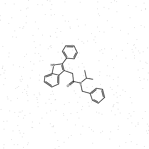 CC(C)N(Cc1ccccc1)C(=O)Cc1c(-c2ccccc2)[nH]c2ccccc12